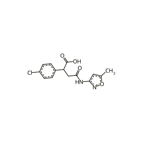 Cc1cc(NC(=O)CC(C(=O)O)c2ccc(Cl)cc2)no1